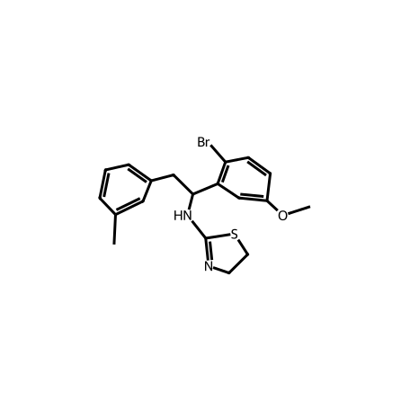 COc1ccc(Br)c(C(Cc2cccc(C)c2)NC2=NCCS2)c1